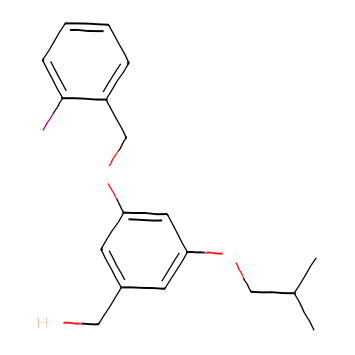 CC(C)COc1cc(CO)cc(OCc2ccccc2I)c1